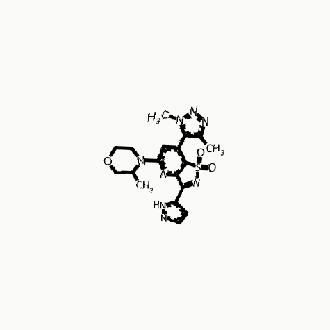 Cc1nnn(C)c1-c1cc(N2CCOCC2C)nc2c1S(=O)(=O)N=C2c1ccn[nH]1